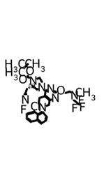 CN(CCOc1nc2c(c(N3CCN(C(=O)OC(C)(C)C)[C@@H](CC#N)C3)n1)CCN(c1cccc3ccc(F)c(Cl)c13)C2)CC(F)(F)F